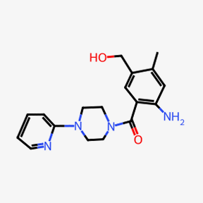 Cc1cc(N)c(C(=O)N2CCN(c3ccccn3)CC2)cc1CO